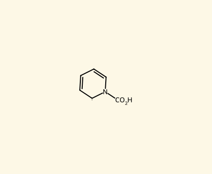 O=C(O)N1[CH]C=CC=C1